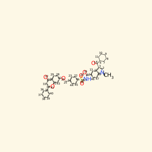 Cn1cc(C(=O)C2CCCCC2)c2cc(C(=O)NS(=O)(=O)c3ccc(COc4ccc5c(=O)cc(-c6ccccc6)oc5c4)cc3)ccc21